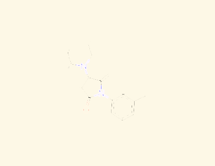 C=C1C(N(CC)CC)CC(=O)N1c1cccc(C)c1